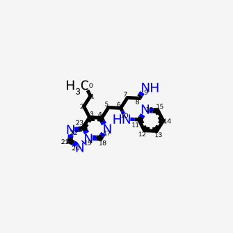 CCCc1c(CC(CC=N)Nc2ccccn2)ncn2ncnc12